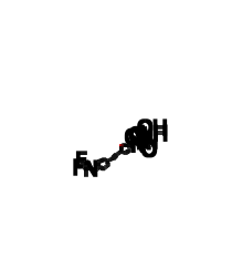 CNC(=O)C(C(=O)NO)N(C)C(=O)c1ccc(C#Cc2ccc(CN3CC(F)(F)C3)cc2)cc1